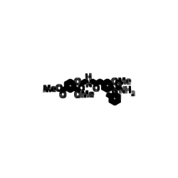 COC(=O)c1ccc(OCCNCC(=O)Cc2ccc(N(C(N)=O)c3ccccc3C)c(OC)c2)c(C(=O)OC)c1